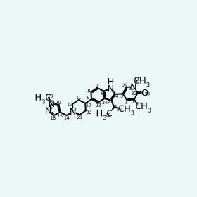 Cc1cc(-c2[nH]c3ccc(C4CCN(Cc5cnn(C)c5)CC4)cc3c2C(C)C)cn(C)c1=O